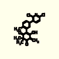 C=C1C(=O)C(C)(C)C(=O)C(c2cc(-c3ccc(Cl)nc3Cl)ccc2C)=C1O